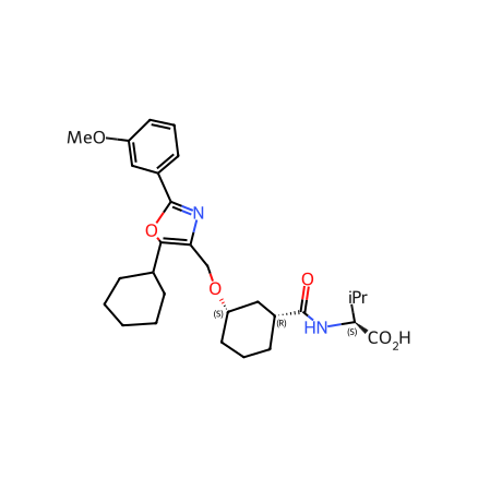 COc1cccc(-c2nc(CO[C@H]3CCC[C@@H](C(=O)N[C@H](C(=O)O)C(C)C)C3)c(C3CCCCC3)o2)c1